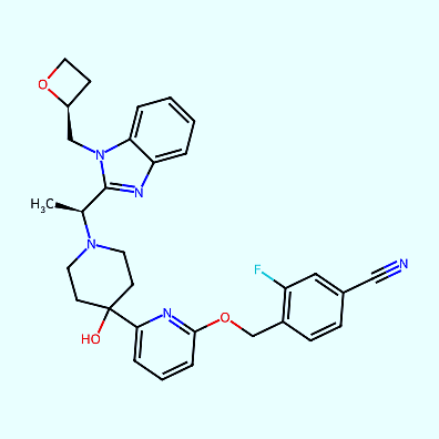 C[C@@H](c1nc2ccccc2n1C[C@@H]1CCO1)N1CCC(O)(c2cccc(OCc3ccc(C#N)cc3F)n2)CC1